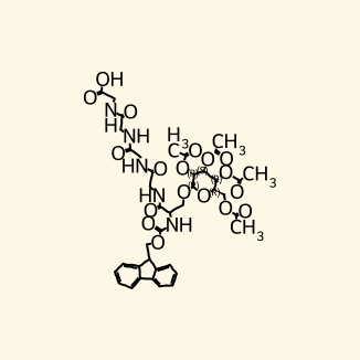 CC(=O)OC[C@H]1O[C@@H](OCC(NC(=O)OCC2c3ccccc3-c3ccccc32)C(=O)NCC(=O)NCC(=O)NCC(=O)NCC(=O)O)[C@H](OC(C)=O)[C@@H](OC(C)=O)[C@@H]1OC(C)=O